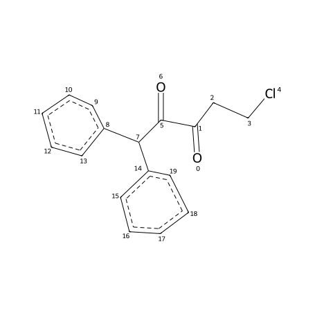 O=C(CCCl)C(=O)C(c1ccccc1)c1ccccc1